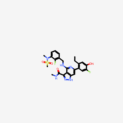 CCc1cc(O)c(F)cc1-c1cc2[nH]nc(C(=O)NC)c2c(NCc2cccc(N(C)S(C)(=O)=O)c2F)n1